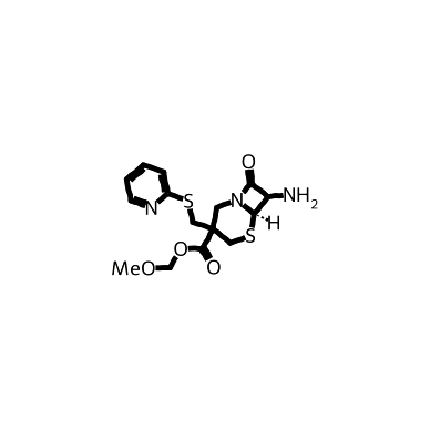 COCOC(=O)C1(CSc2ccccn2)CS[C@@H]2C(N)C(=O)N2C1